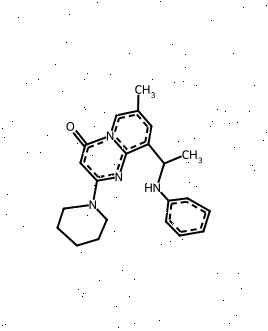 Cc1cc(C(C)Nc2ccccc2)c2nc(N3CCCCC3)cc(=O)n2c1